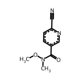 CON(C)C(=O)c1ccc(C#N)nc1